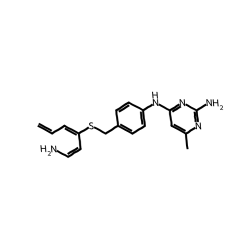 C=C/C=C(\C=C/N)SCc1ccc(Nc2cc(C)nc(N)n2)cc1